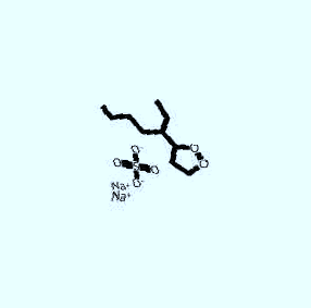 CCCCC(CC)C1CCOO1.O=S(=O)([O-])[O-].[Na+].[Na+]